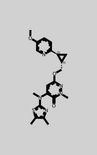 COc1ccc([C@H]2C[C@@H]2COc2cc(N(C)c3nc(C)c(C)s3)c(=O)n(C)n2)nc1